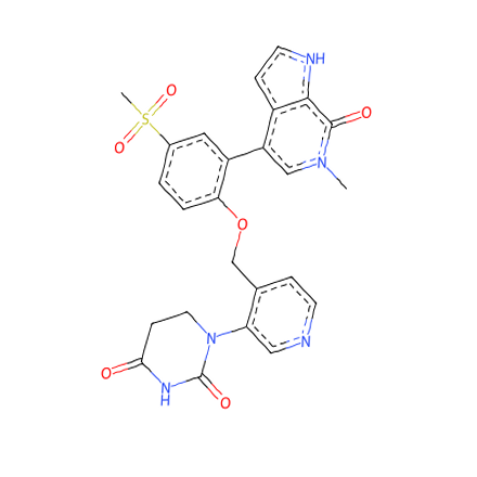 Cn1cc(-c2cc(S(C)(=O)=O)ccc2OCc2ccncc2N2CCC(=O)NC2=O)c2cc[nH]c2c1=O